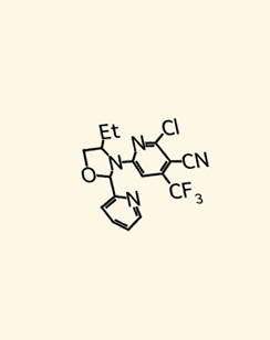 CCC1COC(c2ccccn2)N1c1cc(C(F)(F)F)c(C#N)c(Cl)n1